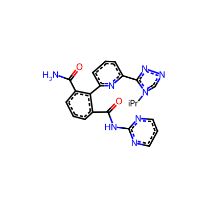 CC(C)n1cnnc1-c1cccc(-c2c(C(N)=O)cccc2C(=O)Nc2ncccn2)n1